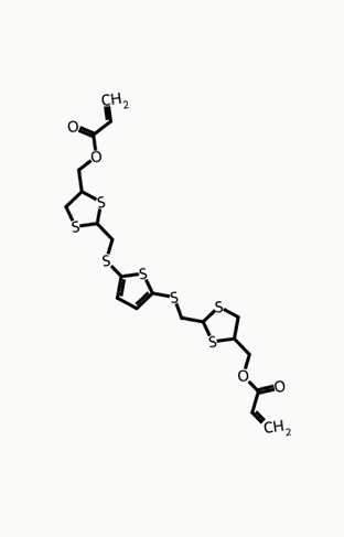 C=CC(=O)OCC1CSC(CSc2ccc(SCC3SCC(COC(=O)C=C)S3)s2)S1